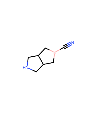 N#CB1CC2CNCC2C1